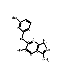 CC(C)(C)c1cccc(Nc2nc3[nH]nc(N)c3cc2F)c1